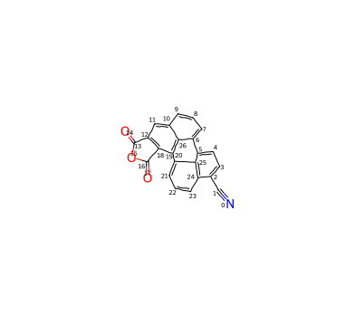 N#Cc1ccc2c3cccc4cc5c(=O)oc(=O)c5c(c5cccc1c25)c43